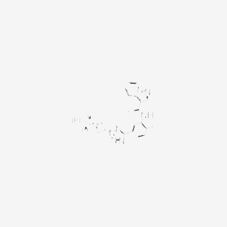 Cc1ccc(-c2nnn(C3CN(S(=O)(=O)C(C)C)C3)n2)cc1NC(=O)c1cnn2ccccc12